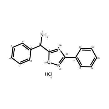 Cl.NC(c1ccccc1)c1nc(-c2ccccc2)no1